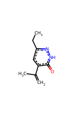 C=C(C)c1cc(CC)n[nH]c1=O